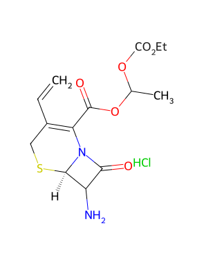 C=CC1=C(C(=O)OC(C)OC(=O)OCC)N2C(=O)C(N)[C@H]2SC1.Cl